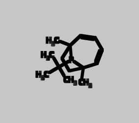 CC(C)(C)P1C2(C)C=CC=CC1(C)CC2